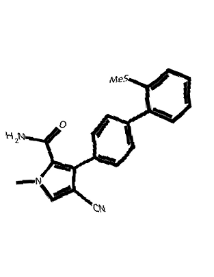 CSc1ccccc1-c1ccc(-c2c(C#N)cn(C)c2C(N)=O)cc1